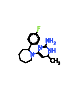 CC1C=C(N2CCCCCC2c2ccc(F)cc2)N=C(N)N1